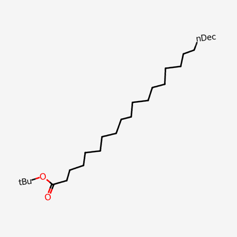 CCCCCCCCCCCCCCCCCCCCCCCCCCCC(=O)OC(C)(C)C